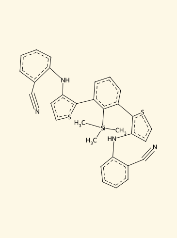 C[Si](C)(C)c1c(-c2sccc2Nc2ccccc2C#N)cccc1-c1sccc1Nc1ccccc1C#N